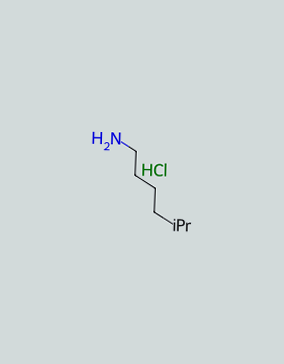 CC(C)CCCCN.Cl